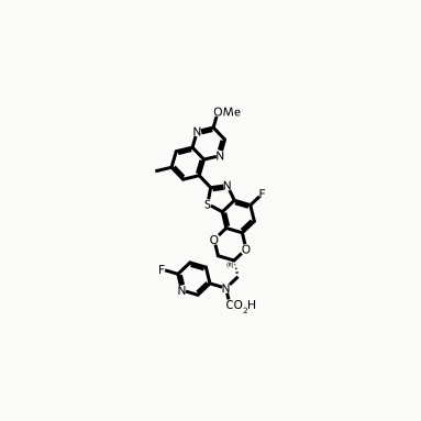 COc1cnc2c(-c3nc4c(F)cc5c(c4s3)OC[C@@H](CN(C(=O)O)c3ccc(F)nc3)O5)cc(C)cc2n1